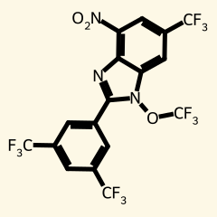 O=[N+]([O-])c1cc(C(F)(F)F)cc2c1nc(-c1cc(C(F)(F)F)cc(C(F)(F)F)c1)n2OC(F)(F)F